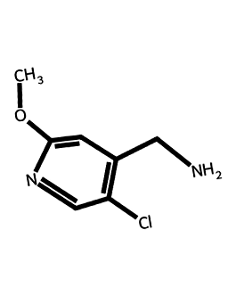 COc1cc(CN)c(Cl)cn1